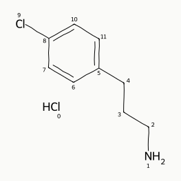 Cl.NCCCc1ccc(Cl)cc1